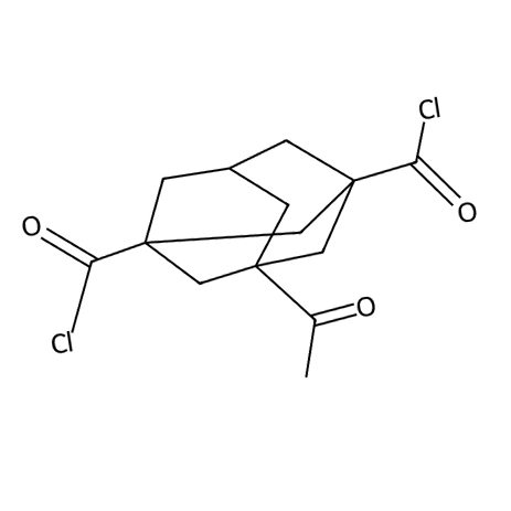 CC(=O)C12CC3CC(C(=O)Cl)(C1)CC(C(=O)Cl)(C3)C2